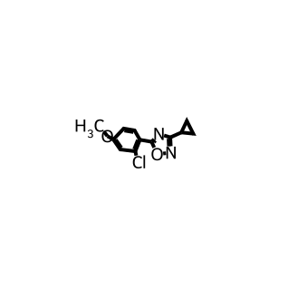 COc1ccc(-c2nc(C3CC3)no2)c(Cl)c1